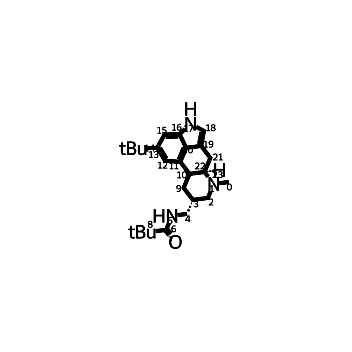 CN1C[C@H](CNC(=O)C(C)(C)C)CC2c3cc(C(C)(C)C)cc4[nH]cc(c34)C[C@H]21